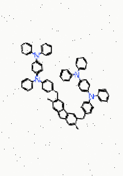 Cc1cc2c(cc1Cc1ccc(N(c3ccccc3)c3ccc(N(c4ccccc4)c4ccccc4)cc3)cc1)-c1cc(Cc3ccc(N(c4ccccc4)c4ccc(N(c5ccccc5)c5ccccc5)cc4)cc3)c(C)cc1C2